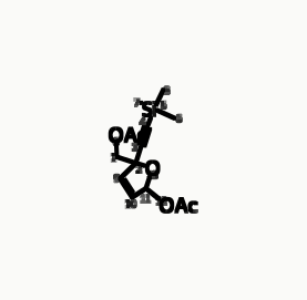 CC(=O)OCC1(C#C[Si](C)(C)C)C=CC(OC(C)=O)O1